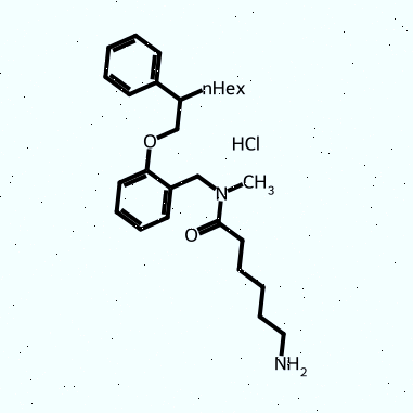 CCCCCCC(COc1ccccc1CN(C)C(=O)CCCCCN)c1ccccc1.Cl